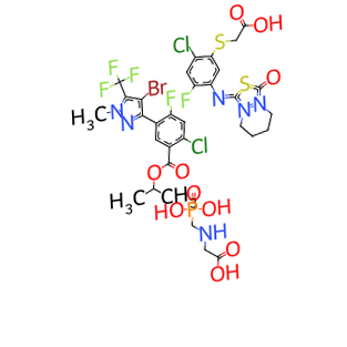 CC(C)OC(=O)c1cc(-c2nn(C)c(C(F)(F)F)c2Br)c(F)cc1Cl.O=C(O)CNCP(=O)(O)O.O=C(O)CSc1cc(N=c2sc(=O)n3n2CCCC3)c(F)cc1Cl